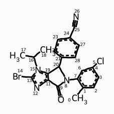 Cc1ccc(Cl)cc1N1C(=O)c2nc(Br)n(C(C)C)c2C1c1ccc(C#N)cc1